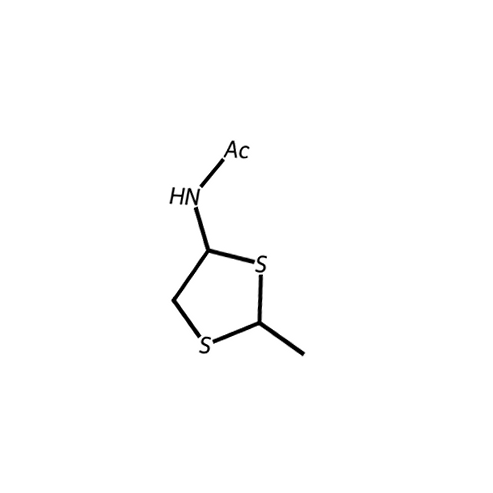 CC(=O)NC1CSC(C)S1